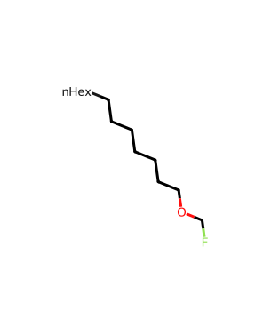 CCCCCCCCCCCCCOCF